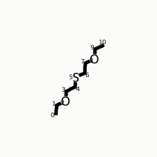 CCOCCSCCOCC